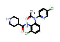 O=C(Nc1c(Cl)cccc1N(C(=O)C(F)(F)F)c1ccc(Cl)cn1)C1CCNCC1